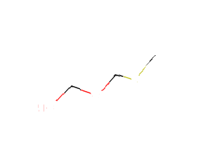 CSCOCO